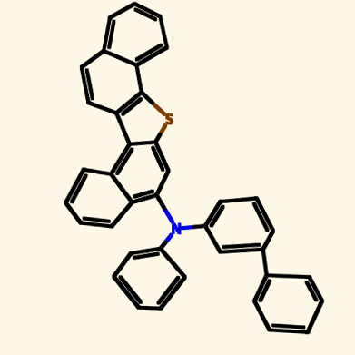 c1ccc(-c2cccc(N(c3ccccc3)c3cc4sc5c6ccccc6ccc5c4c4ccccc34)c2)cc1